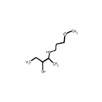 CCC(O)C(C)NCCCOC